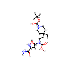 CCC1(CCN(C(=O)OC)c2cc(C(=O)NC)no2)CCN(C(=O)OC(C)(C)C)CC1